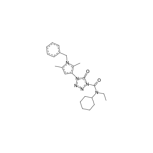 CCN(C(=O)n1nnn(-c2cc(C)n(Cc3ccccc3)c2C)c1=O)C1CCCCC1